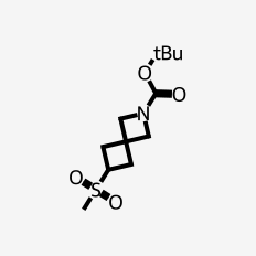 CC(C)(C)OC(=O)N1CC2(CC(S(C)(=O)=O)C2)C1